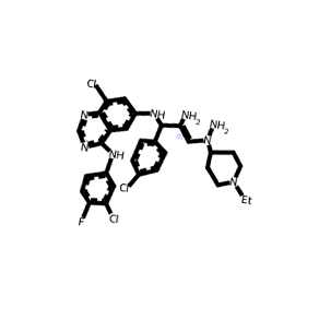 CCN1CCC(N(N)/C=C(\N)C(Nc2cc(Cl)c3ncnc(Nc4ccc(F)c(Cl)c4)c3c2)c2ccc(Cl)cc2)CC1